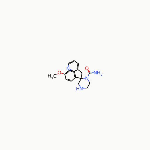 COc1ccc(C2(Cc3cccnc3)CNCCN2C(N)=O)cc1